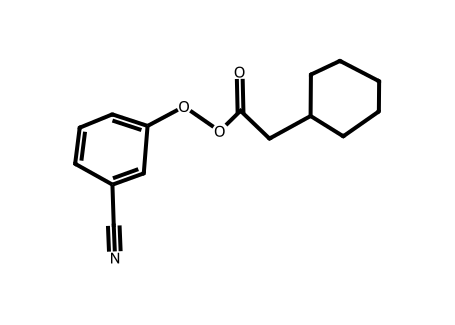 N#Cc1cccc(OOC(=O)CC2CCCCC2)c1